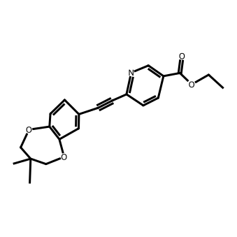 CCOC(=O)c1ccc(C#Cc2ccc3c(c2)OCC(C)(C)CO3)nc1